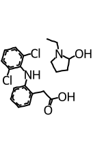 CCN1CCCC1O.O=C(O)Cc1ccccc1Nc1c(Cl)cccc1Cl